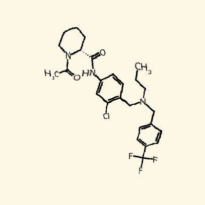 CCCN(Cc1ccc(C(F)(F)F)cc1)Cc1ccc(NC(=O)[C@H]2CCCCN2C(C)=O)cc1Cl